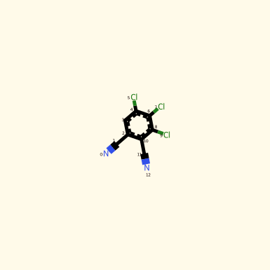 N#Cc1cc(Cl)c(Cl)c(Cl)c1C#N